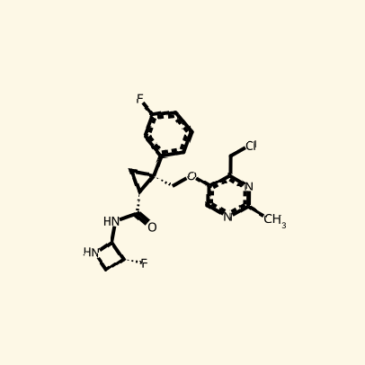 Cc1ncc(OC[C@@]2(c3cccc(F)c3)C[C@H]2C(=O)NC2NC[C@H]2F)c(CCl)n1